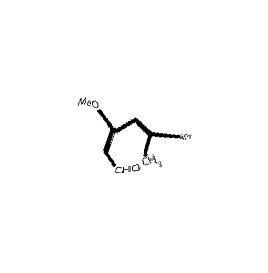 COC(CC=O)CC(C)C(C)C